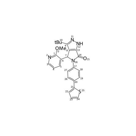 COc1ncccc1C1c2c(C(C)(C)C)n[nH]c2C(=O)N1c1ccc(-c2cccs2)cc1